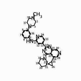 CN1CCN(c2cccc(Nc3cc(-c4nc(N5CCCCC5)c5c(C6CC6)cncc5n4)ccn3)c2)CC1